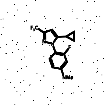 CNc1ccc(-n2nc(C(F)(F)F)cc2C2CC2)c(F)c1